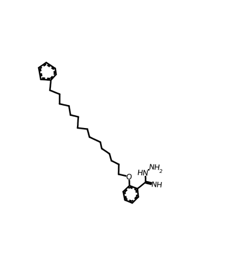 N=C(NN)c1ccccc1OCCCCCCCCCCCCCCCc1ccccc1